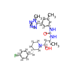 Cc1cc(NC(=O)N[C@H](C)C[C@@H](O)N2CCC[C@@H](Cc3ccc(F)cc3)C2)cc(-c2nnnn2C)c1